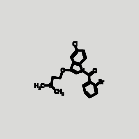 CN(C)CCOc1cn(C(=O)c2ccccc2Br)c2ccc(Cl)cc12